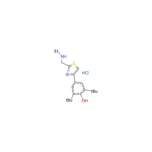 CCNCc1nc(-c2cc(C(C)(C)C)c(O)c(C(C)(C)C)c2)cs1.Cl